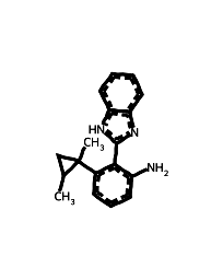 CC1CC1(C)c1cccc(N)c1-c1nc2ccccc2[nH]1